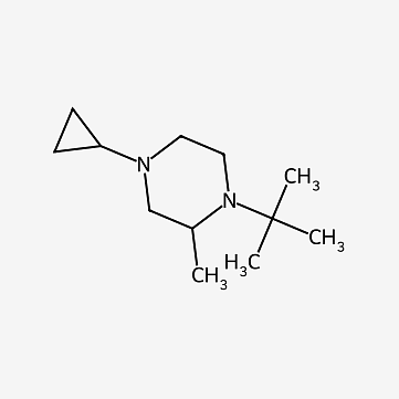 CC1CN(C2CC2)CCN1C(C)(C)C